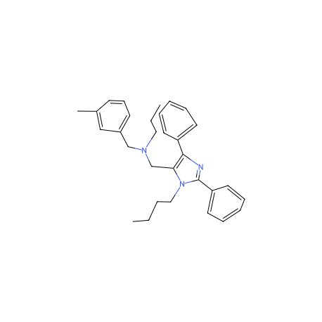 CCCCn1c(-c2ccccc2)nc(-c2ccccc2)c1CN(CCC)Cc1cccc(C)c1